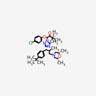 CC(C)(C)C(=O)C(Oc1ccc(Cl)cc1)n1cncn1.CC(Cc1ccc(C(C)(C)C)cc1)CN1C[C@@H](C)O[C@@H](C)C1